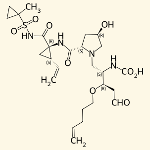 C=CCCCO[C@H](CC=O)[C@H](CN1C[C@H](O)C[C@H]1C(=O)N[C@]1(C(=O)NS(=O)(=O)C2(C)CC2)C[C@H]1C=C)NC(=O)O